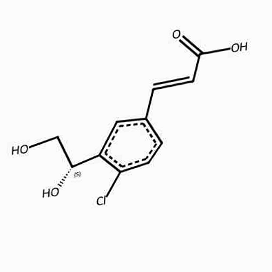 O=C(O)C=Cc1ccc(Cl)c([C@H](O)CO)c1